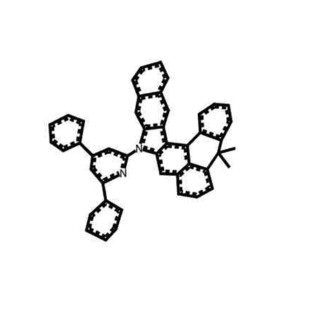 CC1(C)c2ccccc2-c2c3c1cccc3cc1c2c2cc3ccccc3cc2n1-c1cc(-c2ccccc2)cc(-c2ccccc2)n1